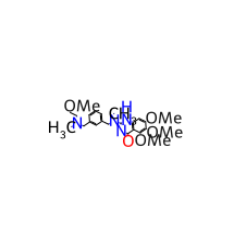 COCCN(C)Cc1cccc(CN(C)c2nc(=O)c3c(OC)c(OC)c(OC)cc3[nH]2)c1